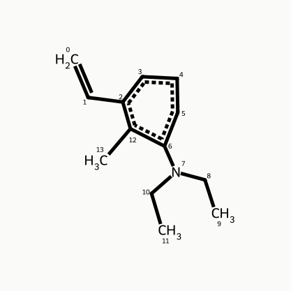 C=Cc1cccc(N(CC)CC)c1C